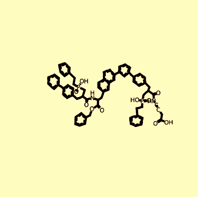 O=C(O)CCCNC(=O)C(Cc1ccc(-c2cccc(-c3ccc4ccc(CC(NC(=O)C(Cc5ccc(-c6ccccc6)cc5)CP(=O)(O)CCc5ccccc5)C(=O)OCc5ccccc5)cc4c3)c2)cc1)CP(=O)(O)CCc1ccccc1